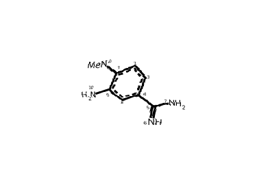 CNc1ccc(C(=N)N)cc1N